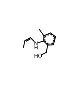 C/C=C\Nc1c(C)cccc1CO